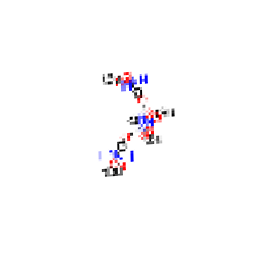 CC(C)(C)OC(=O)/N=C(/N(CCCCOc1ccc(C(=N)NC(=O)OC(C)(C)C)cc1)C(=O)OC(C)(C)C)N(CCCCOc1ccc(C(=N)NC(=O)OC(C)(C)C)cc1)c1ccccc1